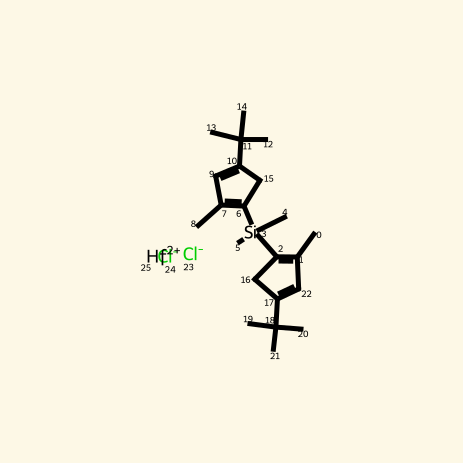 CC1=C([Si](C)(C)C2=C(C)C=C(C(C)(C)C)C2)CC(C(C)(C)C)=C1.[Cl-].[Cl-].[Hf+2]